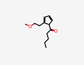 CCCCC(=O)C1C=CC=C1CCOC